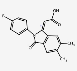 Cc1cc2c(cc1C)/C(=C\C(=O)O)N(c1ccc(F)cc1)C2=O